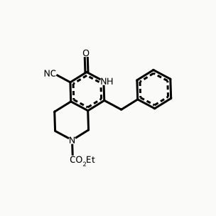 CCOC(=O)N1CCc2c(c(Cc3ccccc3)[nH]c(=O)c2C#N)C1